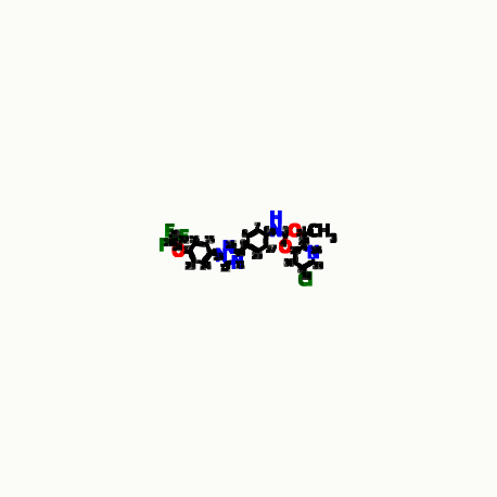 CC(OC(=O)Nc1ccc(-c2ncn(-c3ccc(OC(F)(F)F)cc3)n2)cc1)c1ccc(Cl)cn1